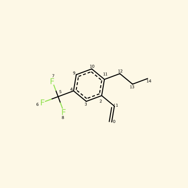 C=[C]c1cc(C(F)(F)F)ccc1CCC